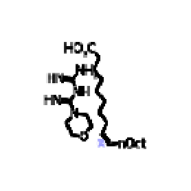 CCCCCCCC/C=C\CCCCCCCC(=O)O.N=C(N)NC(=N)N1CCOCC1